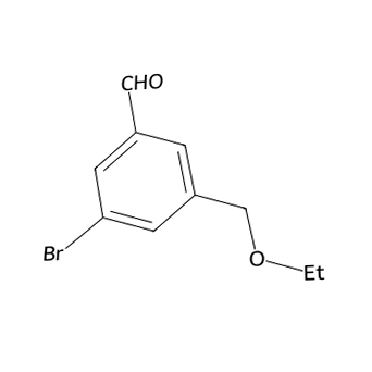 CCOCc1cc(Br)cc(C=O)c1